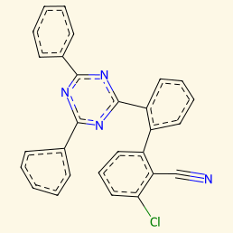 N#Cc1c(Cl)cccc1-c1ccccc1-c1nc(-c2ccccc2)nc(-c2ccccc2)n1